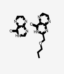 CCCOCc1nc2nccnc2c(=O)[nH]1.O=c1[nH]cnc2nccnc12